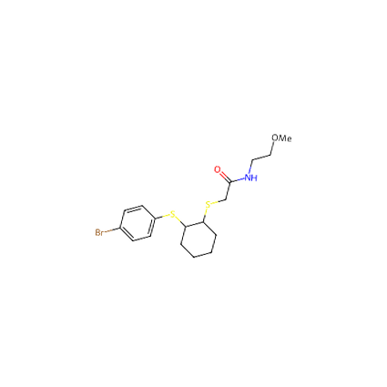 COCCNC(=O)CSC1CCCCC1Sc1ccc(Br)cc1